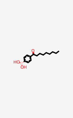 CCCCCCCCC(=O)c1ccc(B(O)O)cc1